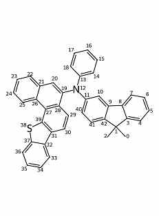 CC1(C)c2ccccc2-c2cc(N(c3ccccc3)c3cc4ccccc4c4c3ccc3c5ccccc5sc34)ccc21